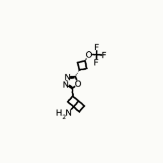 NC12CCC1C(c1nnc([C@H]3C[C@@H](OC(F)(F)F)C3)o1)C2